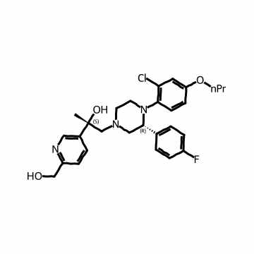 CCCOc1ccc(N2CCN(C[C@@](C)(O)c3ccc(CO)nc3)C[C@H]2c2ccc(F)cc2)c(Cl)c1